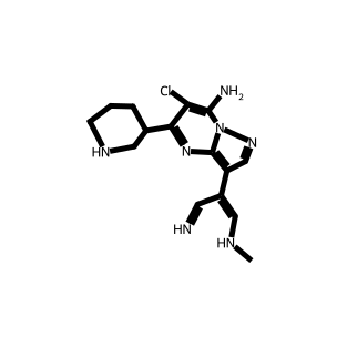 CN/C=C(\C=N)c1cnn2c(N)c(Cl)c(C3CCCNC3)nc12